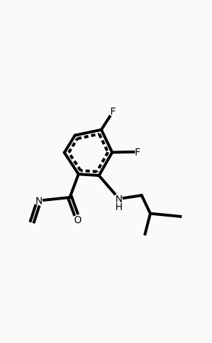 C=NC(=O)c1ccc(F)c(F)c1NCC(C)C